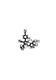 Cc1c(-c2ccc(C#N)cc2)c(C#N)c(-c2cnco2)n1Cc1cnc(Cl)c(CO)c1